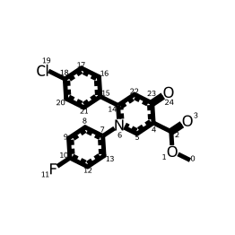 COC(=O)c1cn(-c2ccc(F)cc2)c(-c2ccc(Cl)cc2)cc1=O